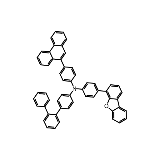 c1ccc(-c2ccccc2-c2ccc(N(c3ccc(-c4cc5ccccc5c5ccccc45)cc3)c3ccc(-c4cccc5c4oc4ccccc45)cc3)cc2)cc1